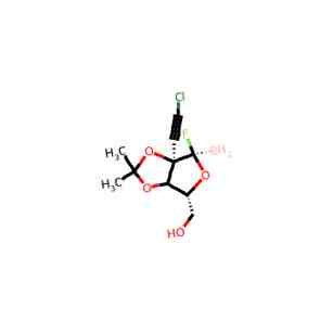 B[C@]1(F)O[C@H](CO)C2OC(C)(C)O[C@]21C#CCl